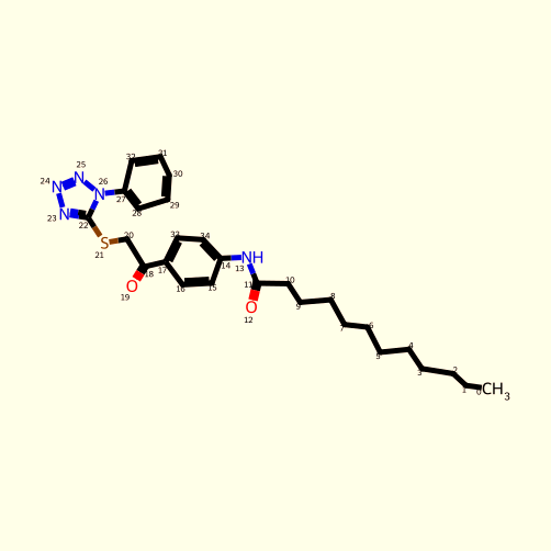 CCCCCCCCCCCC(=O)Nc1ccc(C(=O)CSc2nnnn2-c2ccccc2)cc1